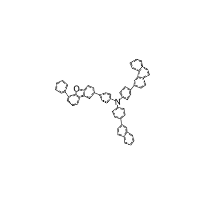 c1ccc(-c2cccc3c2oc2ccc(-c4ccc(N(c5ccc(-c6ccc7ccccc7c6)cc5)c5ccc(-c6ccc7ccc8ccccc8c7c6)cc5)cc4)cc23)cc1